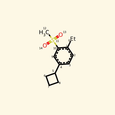 CCc1ccc(C2CCC2)cc1S(C)(=O)=O